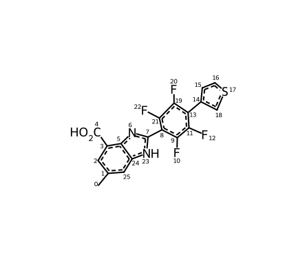 Cc1cc(C(=O)O)c2nc(-c3c(F)c(F)c(-c4ccsc4)c(F)c3F)[nH]c2c1